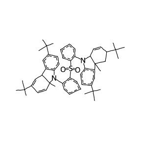 CC(C)(C)C1=CC2c3cc(C(C)(C)C)ccc3N(c3ccccc3S(=O)(=O)c3ccccc3N3c4ccc(C(C)(C)C)cc4C4(C)CC(C(C)(C)C)C=CC34)C2(C)C=C1